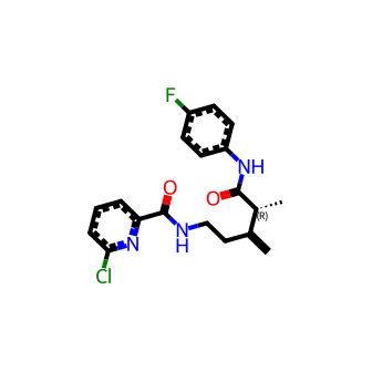 C=C(CCNC(=O)c1cccc(Cl)n1)[C@@H](C)C(=O)Nc1ccc(F)cc1